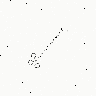 CCCCCOCCCCCCCCCCCCC(c1ccccc1)(c1ccccc1)c1ccccc1